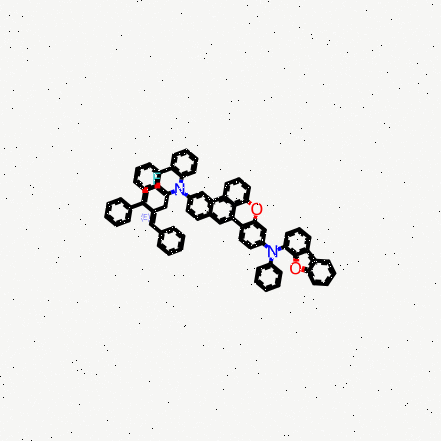 FC1=C(N(c2ccc3cc4c5c(cccc5c3c2)Oc2cc(N(c3ccccc3)c3cccc5c3oc3ccccc35)ccc2-4)c2ccccc2-c2ccccc2)C/C(=C\c2ccccc2)C(c2ccccc2)=C1